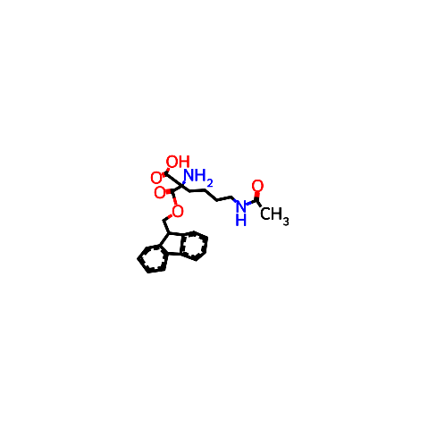 CC(=O)NCCCC[C@@](N)(C(=O)O)C(=O)OCC1c2ccccc2-c2ccccc21